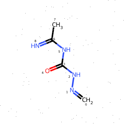 C=NNC(=O)NC(C)=N